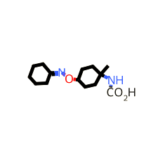 CC1(NC(=O)O)CCC(ON=C2CCCCC2)CC1